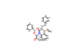 COC(=O)[C@H](OCc1ccccc1)N(C(=O)C(CCc1ccccc1)CSC(C)=O)c1ccccc1